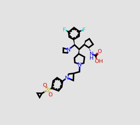 O=C(O)N[C@H]1CCC[C@@H]1[C@@H](C1CCN(CC2CN(c3ccc(S(=O)(=O)C4CC4)cc3)C2)CC1)[C@H](c1cc(F)cc(F)c1)N1CCC1